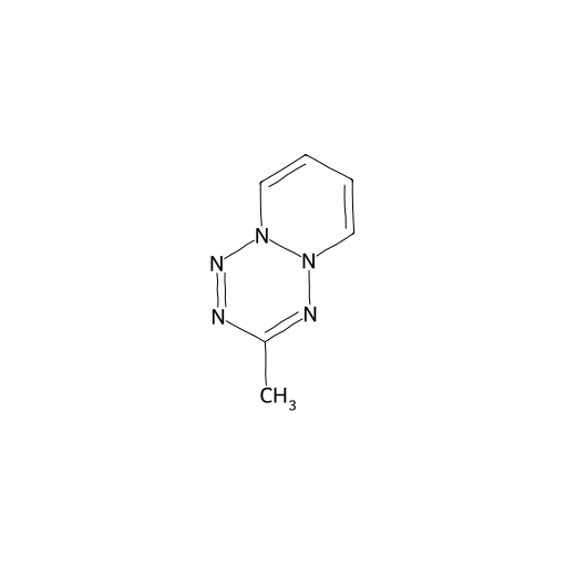 CC1=NN2C=CC=CN2N=N1